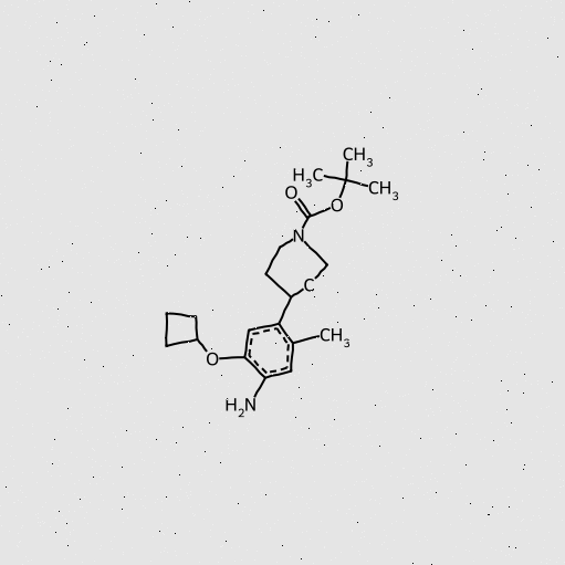 Cc1cc(N)c(OC2CCC2)cc1C1CCN(C(=O)OC(C)(C)C)CC1